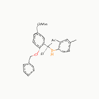 CCC(C)(Pc1ccc(C)cc1C(C)=O)c1cc(OC)ccc1OCc1ccccc1